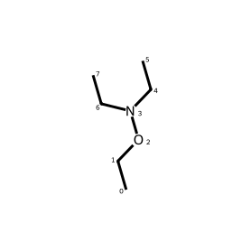 CCON(CC)CC